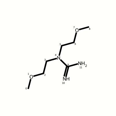 COCCN(CCOC)C(=N)N